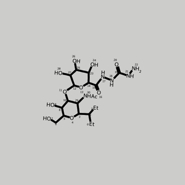 CCC(CC)C1OC(CO)C(O)C(OC2OC(C(=O)NNC(=O)NN)C(O)C(O)C2O)C1NC(C)=O